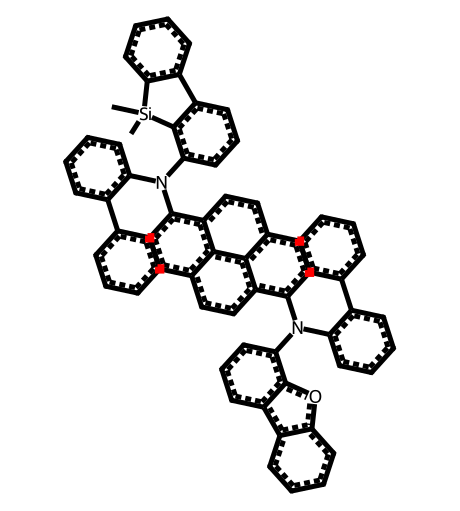 C[Si]1(C)c2ccccc2-c2cccc(N(c3ccccc3-c3ccccc3)c3ccc4ccc5c(N(c6ccccc6-c6ccccc6)c6cccc7c6oc6ccccc67)ccc6ccc3c4c65)c21